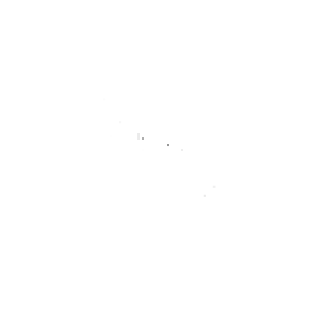 CC(=S)NCCCC[C@H](N)C(=O)Nc1nc(-c2ccccc2)cs1